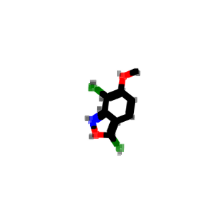 COc1ccc2c(Cl)onc2c1Br